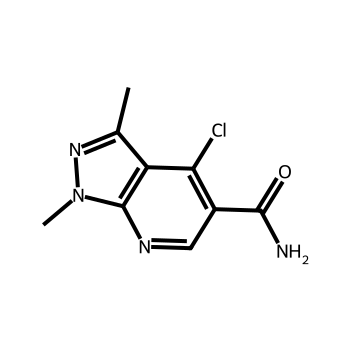 Cc1nn(C)c2ncc(C(N)=O)c(Cl)c12